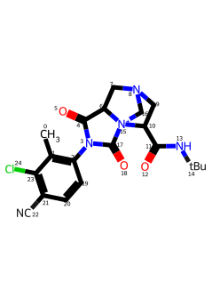 Cc1c(N2C(=O)C3CN4CC(C(=O)NC(C)(C)C)[N+]3(C4)C2=O)ccc(C#N)c1Cl